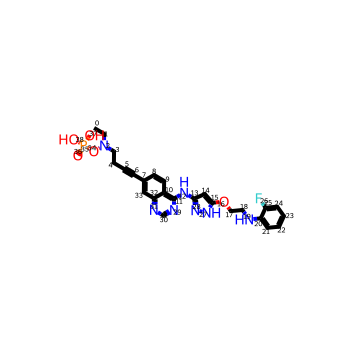 CCN(CCC#Cc1ccc2c(Nc3cc(OCCNc4ccccc4F)[nH]n3)ncnc2c1)OP(=O)(O)O